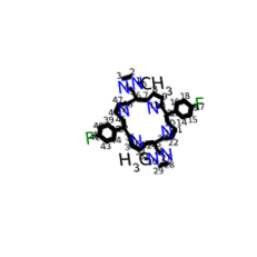 Cn1ccnc1C1=C2C=CC(=N2)C(c2ccc(F)cc2)=C2C=CC(=N2)C(c2nccn2C)=C2C=CC(=N2)C(c2ccc(F)cc2)=C2C=CC1=N2